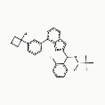 CC(C)(C)[S+]([O-])NC(c1cc2cccc(-c3cc(C4(O)CCC4)ccn3)c2s1)c1ccccc1Cl